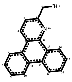 [2H]Cc1ccc2c3ccccc3c3ccccc3c2n1